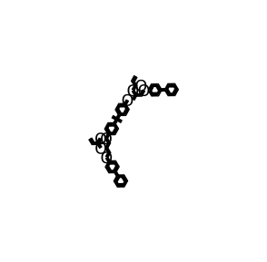 C=CC(=O)OC(COc1ccc(-c2ccccc2)cc1)COc1ccc(C(C)(C)c2ccc(OCC(COc3ccc(-c4ccccc4)cc3)OC(=O)C=C)cc2)cc1